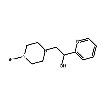 CC(C)N1CCN(CC(O)c2ccccn2)CC1